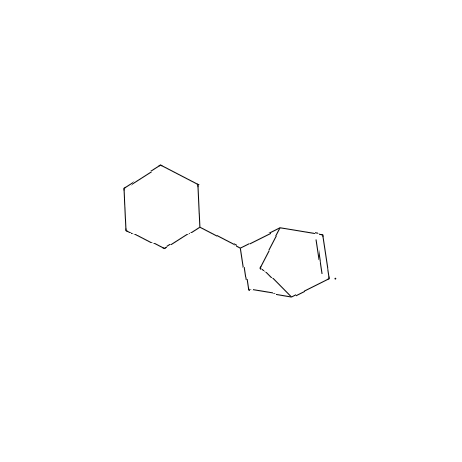 [C]1=CC2CC1CC2C1CCCCC1